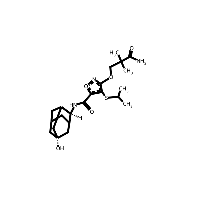 CC(C)Sc1c(OCC(C)(C)C(N)=O)noc1C(=O)N[C@H]1C2CC3CC1C[C@](O)(C3)C2